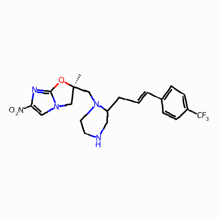 C[C@]1(CN2CCNCC2CC=Cc2ccc(C(F)(F)F)cc2)Cn2cc([N+](=O)[O-])nc2O1